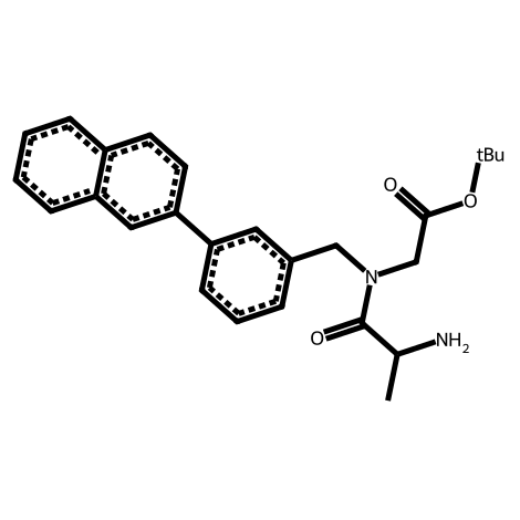 CC(N)C(=O)N(CC(=O)OC(C)(C)C)Cc1cccc(-c2ccc3ccccc3c2)c1